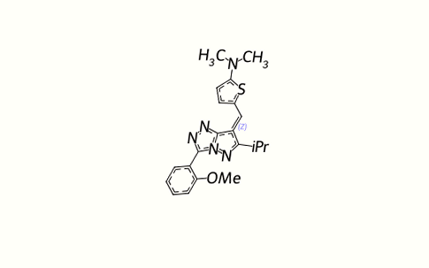 COc1ccccc1-c1nnc2/c(=C\c3ccc(N(C)C)s3)c(C(C)C)nn12